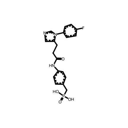 O=C(CCc1cncn1-c1ccc(F)cc1)Nc1ccc(CP(=O)(O)O)cc1